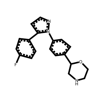 Fc1ccc(-c2ccnn2-c2ccc(C3CNCCO3)cc2)cc1